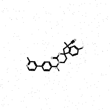 Cc1cc(-c2ccc([C@H](C)N3CCC(CC(C)(C)C#N)(c4ccc(F)cc4)OC3=O)cc2)ccn1